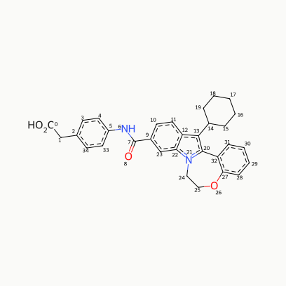 O=C(O)Cc1ccc(NC(=O)c2ccc3c(C4CCCCC4)c4n(c3c2)CCOc2ccccc2-4)cc1